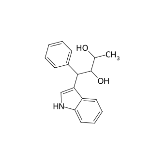 CC(O)C(O)C(c1ccccc1)c1c[nH]c2ccccc12